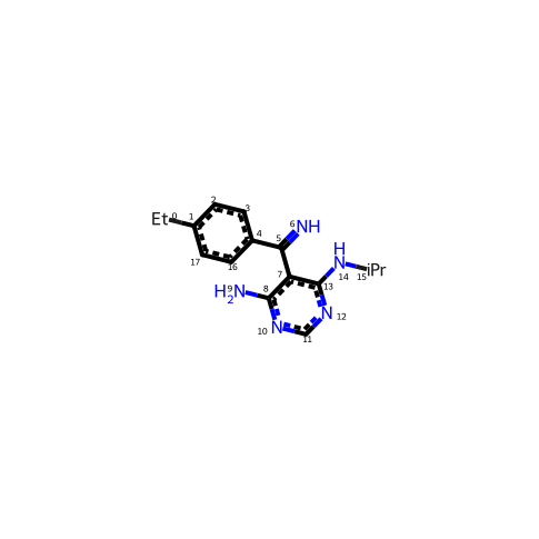 CCc1ccc(C(=N)c2c(N)ncnc2NC(C)C)cc1